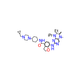 C=C1[C@H](CC)N(C(C)C)c2nc(Nc3ccc(C(=O)N[C@H]4CC[C@H](N5CCN(CC6CC6)CC5)CC4)c4c3OCC4)ncc2N1C